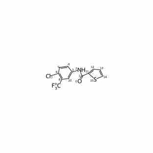 O=C(Nc1ccc(Cl)c(C(F)(F)F)c1)c1cccs1